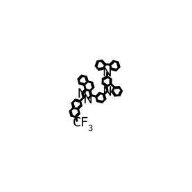 FC(F)(F)c1ccc2ccc(-c3nc(-c4cccc(-n5c6ccccc6c6cc(-n7c8ccccc8c8ccccc87)ccc65)c4)c4ccc5ccccc5c4n3)cc2c1